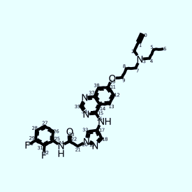 C#CCN(CCC)CCCOc1ccc2c(Nc3cnn(CC(=O)Nc4cccc(F)c4F)c3)ncnc2c1